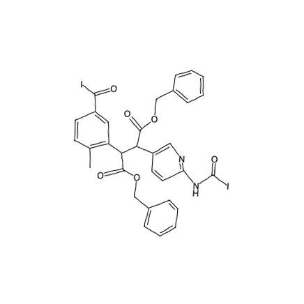 Cc1ccc(C(=O)I)cc1C(C(=O)OCc1ccccc1)C(C(=O)OCc1ccccc1)c1ccc(NC(=O)I)nc1